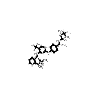 C[C@@H](NC(=O)OC(C)(C)C)c1ccc(Nc2ncc(C(F)(F)F)c(NCc3cccnc3N(C)S(C)(=O)=O)n2)cc1